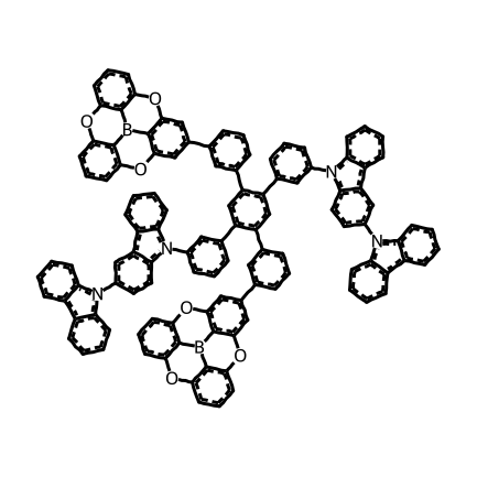 c1cc(-c2cc3c4c(c2)Oc2cccc5c2B4c2c(cccc2O3)O5)cc(-c2cc(-c3cccc(-n4c5ccccc5c5cc(-n6c7ccccc7c7ccccc76)ccc54)c3)c(-c3cccc(-c4cc5c6c(c4)Oc4cccc7c4B6c4c(cccc4O5)O7)c3)cc2-c2cccc(-n3c4ccccc4c4cc(-n5c6ccccc6c6ccccc65)ccc43)c2)c1